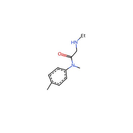 CCNCC(=O)N(C)c1ccc(C)cc1